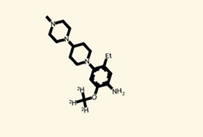 [2H]C([2H])([2H])Oc1cc(N2CCC(N3CCN(C)CC3)CC2)c(CC)cc1N